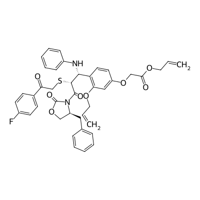 C=CCOC(=O)COc1ccc([C@@H](Nc2ccccc2)[C@@H](SCC(=O)c2ccc(F)cc2)C(=O)N2C(=O)OC[C@@H]2Cc2ccccc2)c(OCC=C)c1